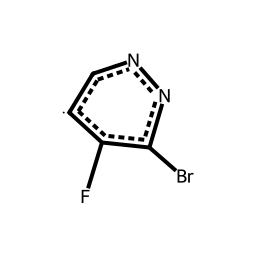 Fc1[c]cnnc1Br